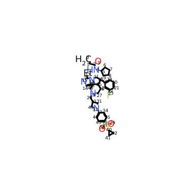 C=CC(=O)N[C@H]1CCC[C@@H]1C(Cn1ccnc1CC)(c1cccc(F)c1)C1CCN(CC2CN(c3ccc(S(=O)(=O)C4CC4)cc3)C2)CC1